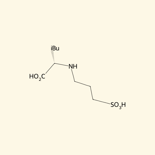 CCC(C)[C@H](NCCCS(=O)(=O)O)C(=O)O